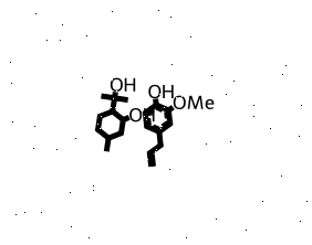 C=CCc1ccc(O)c(OC)c1.CC1CCC(C(C)(C)O)C(O)C1